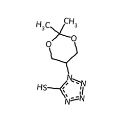 CC1(C)OCC(n2nnnc2S)CO1